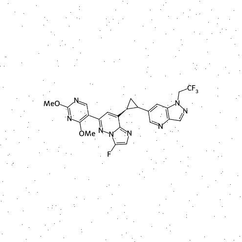 COc1ncc(-c2cc([C@H]3CC3c3cnc4cnn(CC(F)(F)F)c4c3)c3ncc(F)n3n2)c(OC)n1